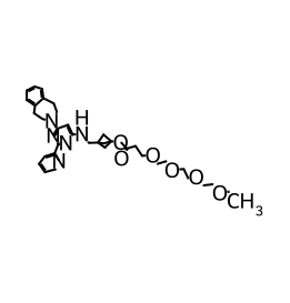 CCOCCOCCOCCOCCC(=O)OC12CC(CNc3cc(N4CCc5ccccc5CC4)nc(-c4ccccn4)n3)(C1)C2